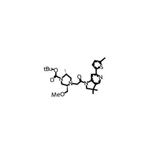 COC[C@H]1CN(C(=O)OC(C)(C)C)[C@H](C)CN1CC(=O)N1CC(C)(C)c2cnc(-c3ccc(C)s3)cc21